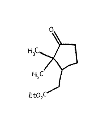 CCOC(=O)CC1CCC(=O)C1(C)C